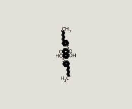 CCCCCCc1ccc(SC2=CC(=O)c3c(O)c(Sc4ccc(CCCCCC)cc4)cc(O)c3C2=O)cc1